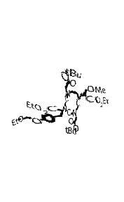 CCOCCOc1ccc(CC(C(=O)OCC)N2CCN(CC(=O)OC(C)(C)C)CCN([C@@H](COC)C(=O)OCC)CCN(CC(=O)OC(C)(C)C)CC2)cc1